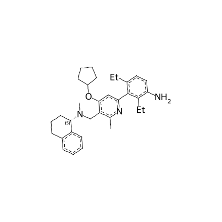 CCc1ccc(N)c(CC)c1-c1cc(OC2CCCC2)c(CN(C)[C@H]2CCCc3ccccc32)c(C)n1